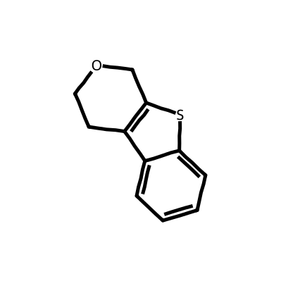 c1ccc2c3c(sc2c1)COCC3